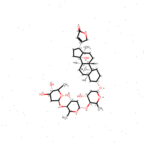 CC1O[C@@H](O[C@@H]2C(C)O[C@@H](O[C@@H]3C(C)O[C@@H](O[C@H]4CC[C@@]5(C)[C@H](CC[C@@H]6[C@@H]5CC[C@]5(C)[C@@H](C7=CC(=O)OC7)CC[C@]65O)C4)C[C@H]3O)C[C@H]2O)CC(O)[C@@H]1O